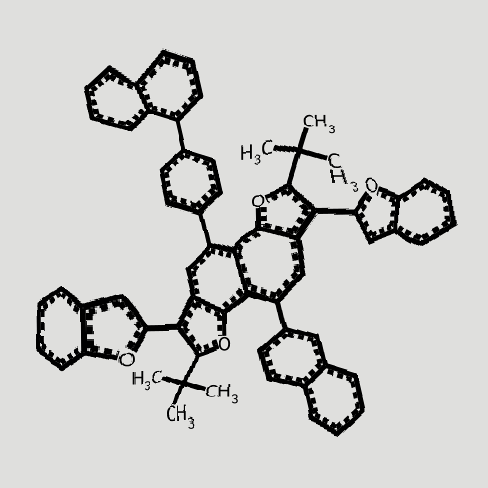 CC(C)(C)c1oc2c(cc(-c3ccc4ccccc4c3)c3c4oc(C(C)(C)C)c(-c5cc6ccccc6o5)c4cc(-c4ccc(-c5cccc6ccccc56)cc4)c23)c1-c1cc2ccccc2o1